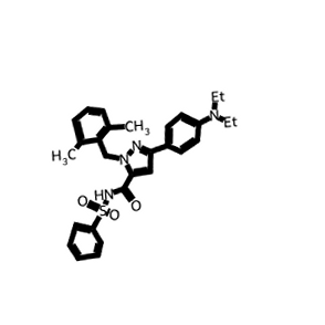 CCN(CC)c1ccc(-c2cc(C(=O)NS(=O)(=O)c3ccccc3)n(Cc3c(C)cccc3C)n2)cc1